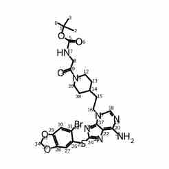 CC(C)(C)OC(=O)NCC(=O)N1CCC(CCn2cnc(N)c3nc(Sc4cc5c(cc4Br)OCO5)nc2-3)CC1